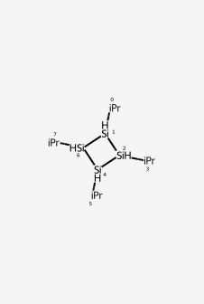 CC(C)[SiH]1[SiH](C(C)C)[SiH](C(C)C)[SiH]1C(C)C